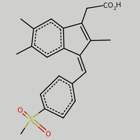 CC1=C(CC(=O)O)c2cc(C)c(C)cc2C1=Cc1ccc(S(C)(=O)=O)cc1